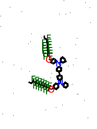 CCC(F)C(F)(F)C(F)(F)C(F)(F)C(F)(F)C(F)(F)C(F)(F)Oc1ccc(N(c2ccccc2)c2ccc(-c3ccc(N(c4ccccc4)c4ccc(OC(F)(F)C(F)(F)C(F)(F)C(F)(F)C(F)(F)C(F)(F)C(F)CC)cc4)cc3)cc2)cc1